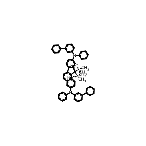 C[Si](C)(C)C1([Si](C)(C)C)c2cc(N(c3ccccc3)c3cccc(-c4ccccc4)c3)ccc2-c2ccc3cc(N(c4ccccc4)c4cccc(-c5ccccc5)c4)ccc3c21